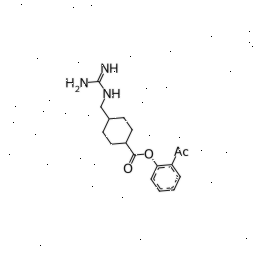 CC(=O)c1ccccc1OC(=O)C1CCC(CNC(=N)N)CC1